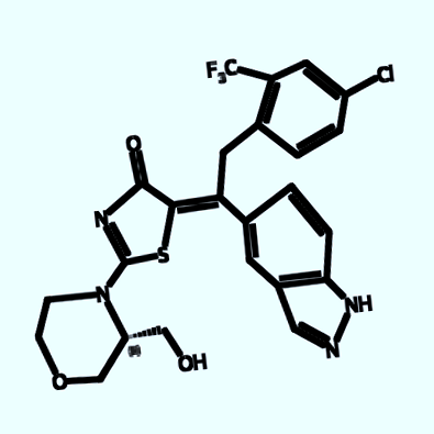 O=C1N=C(N2CCOC[C@H]2CO)SC1=C(Cc1ccc(Cl)cc1C(F)(F)F)c1ccc2[nH]ncc2c1